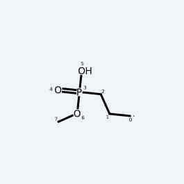 [CH2]CCP(=O)(O)OC